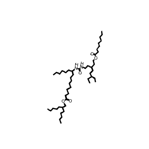 CCCCCCCCC(=O)OCCC(CCNC(=O)NC(CCCCCC)CCCCCCCCC(=O)OCC(CCCCC)CCCCC)CCC(CC)CC